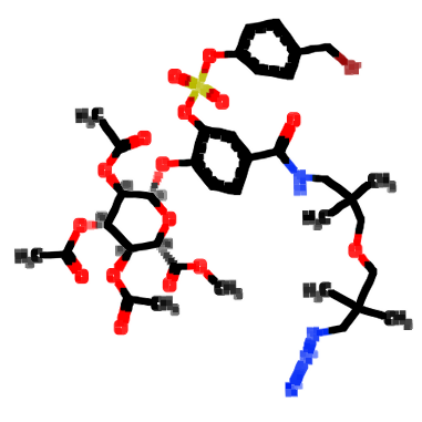 COC(=O)[C@H]1O[C@@H](Oc2ccc(C(=O)NCC(C)(C)COCC(C)(C)CN=[N+]=[N-])cc2OS(=O)(=O)Oc2ccc(CBr)cc2)[C@H](OC(C)=O)[C@@H](OC(C)=O)[C@@H]1OC(C)=O